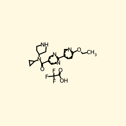 CCOc1ccc(-c2ncc(C(=O)N(C3CCNCC3)C3CC3)cn2)cn1.O=C(O)C(F)(F)F